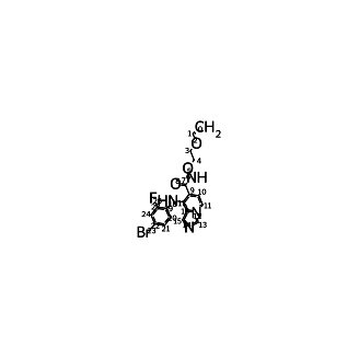 C=COCCONC(=O)c1ccn2cncc2c1Nc1ccc(Br)cc1F